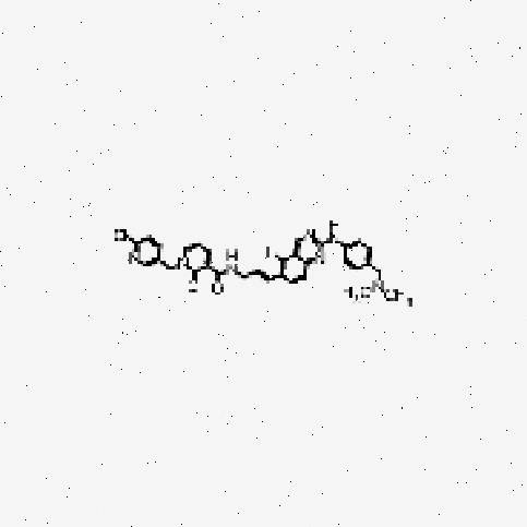 CN(C)Cc1ccc(Nc2ncc3c(F)c(C=CCNC(=O)c4cccn(Cc5ccc(Cl)nc5)c4=O)ccc3n2)cc1